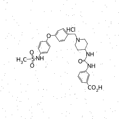 CS(=O)(=O)Nc1ccc(Oc2ccc(CN3CCC(NC(=O)Nc4cccc(C(=O)O)c4)CC3)cc2)cc1.Cl